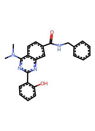 CN(C)c1nc(-c2ccccc2O)nc2cc(C(=O)NCc3ccccc3)ccc12